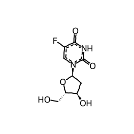 O=c1[nH]c(=O)n([C@H]2C[C@@H](O)[C@H](CO)O2)cc1F